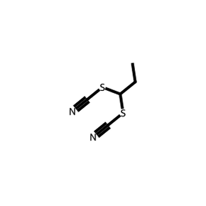 CCC(SC#N)SC#N